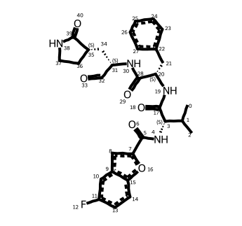 CC(C)[C@H](NC(=O)c1cc2cc(F)ccc2o1)C(=O)N[C@@H](Cc1ccccc1)C(=O)N[C@H](C=O)C[C@@H]1CCNC1=O